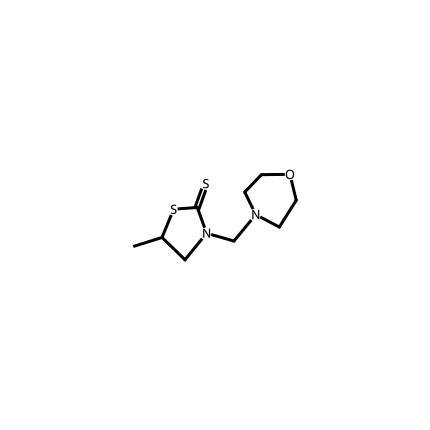 CC1CN(CN2CCOCC2)C(=S)S1